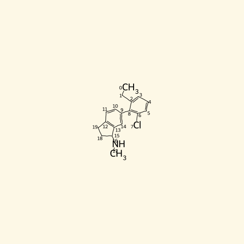 CCc1cccc(Cl)c1-c1ccc2c(c1)C(NC)CC2